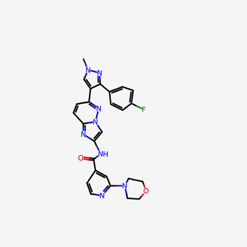 Cn1cc(-c2ccc3nc(NC(=O)c4ccnc(N5CCOCC5)c4)cn3n2)c(-c2ccc(F)cc2)n1